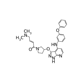 CN(C)CC=CC(=O)N1CCC(Oc2n[nH]c3nccc(Nc4cccc(Oc5ccccc5)c4)c23)C1